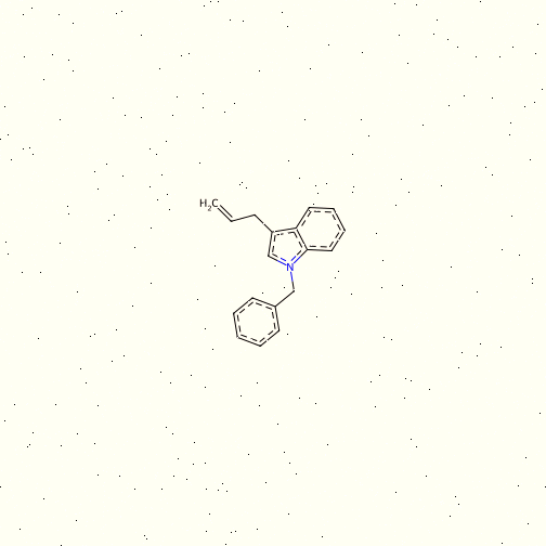 C=CCc1cn(Cc2ccccc2)c2ccccc12